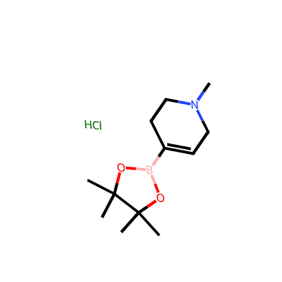 CN1CC=C(B2OC(C)(C)C(C)(C)O2)CC1.Cl